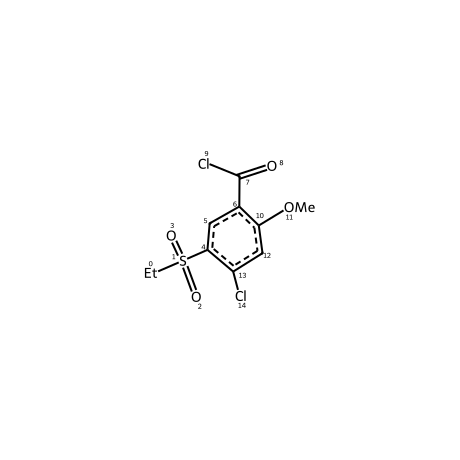 CCS(=O)(=O)c1cc(C(=O)Cl)c(OC)cc1Cl